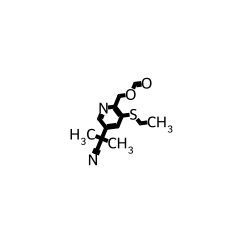 CCSc1cc(C(C)(C)C#N)cnc1COC=O